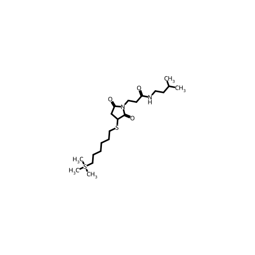 CC(C)CCNC(=O)CCN1C(=O)CC(SCCCCCCS(C)(C)C)C1=O